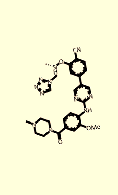 COc1cc(C(=O)N2CCN(C)CC2)ccc1Nc1ncc(-c2ccc(C#N)c(O[Si@@H](C)Cn3cnnn3)c2)cn1